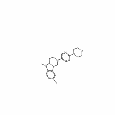 CN1c2ccc(F)cc2C2CN(c3ccc(N4CCOCC4)nc3)CCC21